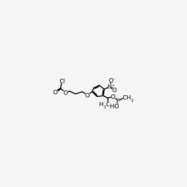 CC(OP(C)O)c1cc(OCCCOC(=O)Cl)ccc1[N+](=O)[O-]